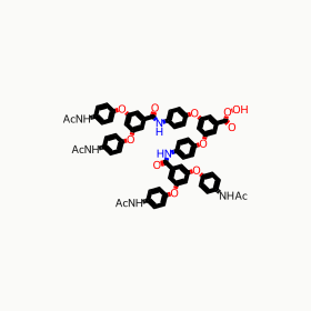 CC(=O)Nc1ccc(Oc2cc(Oc3ccc(NC(C)=O)cc3)cc(C(=O)Nc3ccc(Oc4cc(Oc5ccc(NC(=O)c6cc(Oc7ccc(NC(C)=O)cc7)cc(Oc7ccc(NC(C)=O)cc7)c6)cc5)cc(C(=O)OO)c4)cc3)c2)cc1